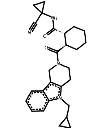 N#CC1(NC(=O)[C@@H]2CCCC[C@H]2C(=O)N2CCc3c(c4ccccc4n3CC3CC3)C2)CC1